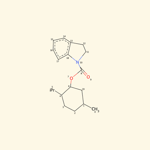 CC1CCC(C(C)C)C(OC(=O)N2CCc3ccccc32)C1